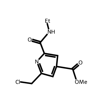 CCNC(=O)c1cc(C(=O)OC)cc(CCl)n1